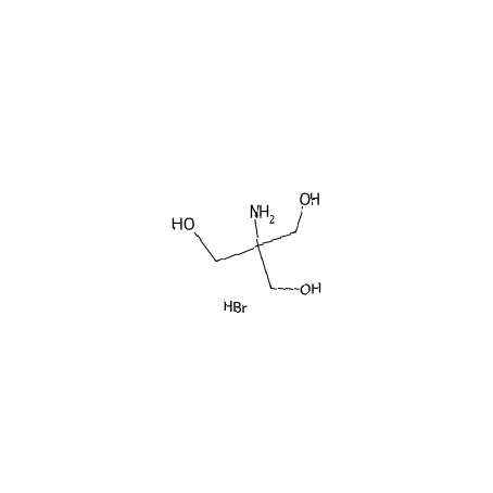 Br.NC(CO)(CO)CO